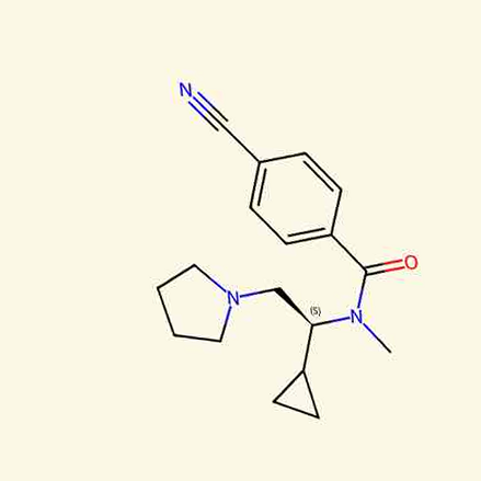 CN(C(=O)c1ccc(C#N)cc1)[C@H](CN1CCCC1)C1CC1